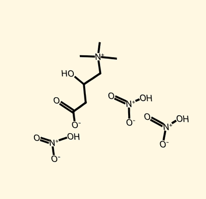 C[N+](C)(C)CC(O)CC(=O)[O-].O=[N+]([O-])O.O=[N+]([O-])O.O=[N+]([O-])O